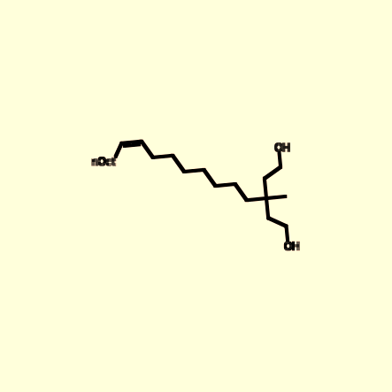 CCCCCCCC/C=C\CCCCCCCC(C)(CCO)CCO